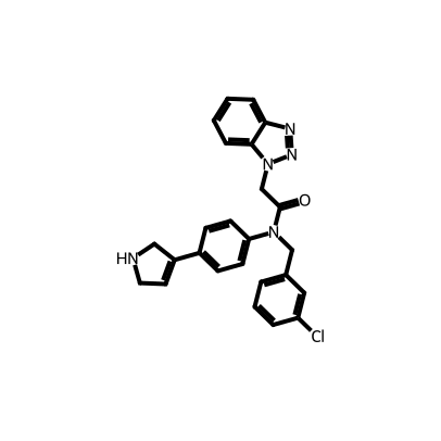 O=C(Cn1nnc2ccccc21)N(Cc1cccc(Cl)c1)c1ccc(C2=CCNC2)cc1